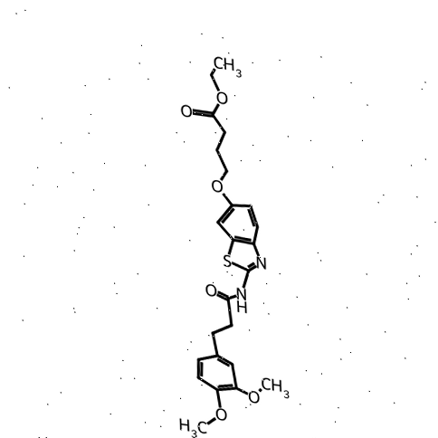 CCOC(=O)CCCOc1ccc2nc(NC(=O)CCc3ccc(OC)c(OC)c3)sc2c1